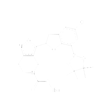 CC(C)(C)OC(=O)N1CCc2noc(C3Cc4cc(Cl)cc(B5OC(C)(C)C(C)(C)O5)c4O3)c2C1